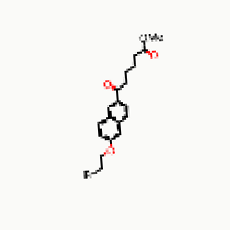 COC(=O)CCCCC(=O)c1ccc2cc(OCCC(C)C)ccc2c1